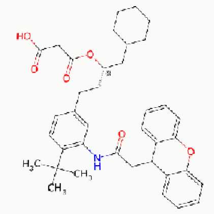 CC(C)(C)c1ccc(CC[C@@H](CC2CCCCC2)OC(=O)CC(=O)O)cc1NC(=O)CC1c2ccccc2Oc2ccccc21